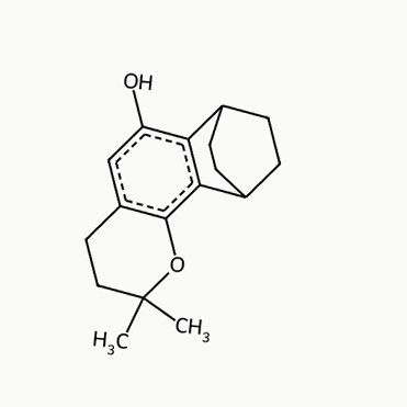 CC1(C)CCc2cc(O)c3c(c2O1)C1CCC3CC1